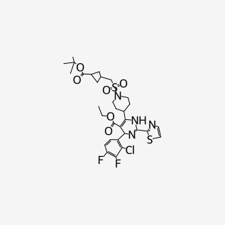 CCOC(=O)C1=C(C2CCN(S(=O)(=O)CC3CC(C(=O)OC(C)(C)C)C3)CC2)NC(c2nccs2)=NC1c1ccc(F)c(F)c1Cl